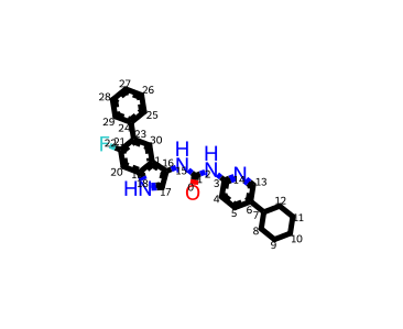 O=C(Nc1ccc(C2CCCCC2)cn1)Nc1c[nH]c2cc(F)c(-c3ccccc3)cc12